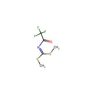 CSC(=NC(=O)C(F)(F)F)SC